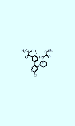 CN(C)C(=O)c1cccc(-c2cnc(Cl)cc2N2CCC[C@H](NC(=O)OC(C)(C)C)C2)c1